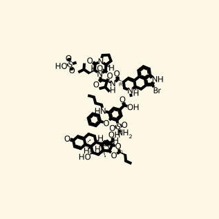 CC(C)C[C@H]1C(=O)N2CCC[C@H]2[C@]2(O)O[C@](NC(=O)[C@@H]3C=C4c5cccc6[nH]c(Br)c(c56)C[C@H]4N(C)C3)(C(C)C)C(=O)N12.CCCCNc1cc(C(=O)O)cc(S(N)(=O)=O)c1Oc1ccccc1.CCC[C@@H]1O[C@@H]2C[C@H]3[C@@H]4CCC5=CC(=O)C=C[C@]5(C)[C@H]4[C@@H](O)C[C@]3(C)[C@]2(C(=O)CO)O1.CS(=O)(=O)O